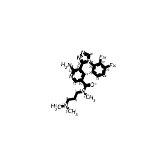 CN(C)CCCN(C)C(=O)c1cnc(N)c(-c2nncn2-c2cccc(F)c2F)c1